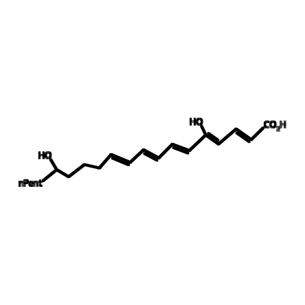 CCCCCC(O)CCCC=CC=CC=CC(O)=CC=CC(=O)O